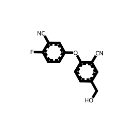 N#Cc1cc(Oc2ccc(CO)cc2C#N)ccc1F